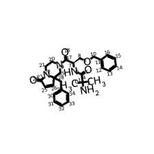 CC(C)(N)C(=O)N[C@H](COCc1ccccc1)C(=O)N1CCN2C(=O)C=CC2(Cc2ccccc2)C1